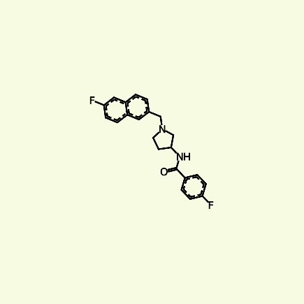 O=C(NC1CCN(Cc2ccc3cc(F)ccc3c2)C1)c1ccc(F)cc1